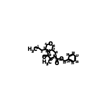 C=CCC1COCC2CN(C(=O)OCc3ccccc3)C(C)C(=O)N12